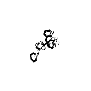 Cc1ncccc1CC1(C2=NOC[C@@H](CN3CCCCC3)O2)CCNCC1